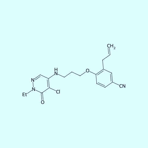 C=CCc1cc(C#N)ccc1OCCCNc1cnn(CC)c(=O)c1Cl